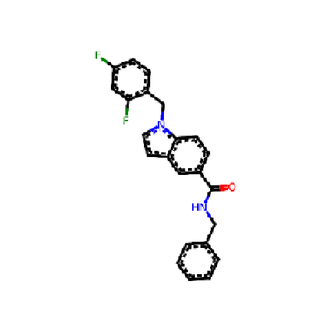 O=C(NCc1ccccc1)c1ccc2c(ccn2Cc2ccc(F)cc2F)c1